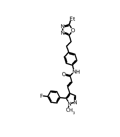 CCc1nnc(CCc2ccc(NC(=O)C=Cc3cnn(C)c3-c3ccc(F)cc3)cc2)o1